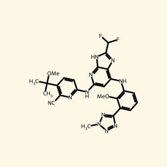 COc1c(Nc2cc(Nc3ccc(C(C)(C)OC)c(C#N)n3)nc3[nH]c(C(F)F)nc23)cccc1-c1nnn(C)n1